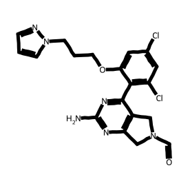 Nc1nc2c(c(-c3c(Cl)cc(Cl)cc3OCCCn3cccn3)n1)CN(C=O)C2